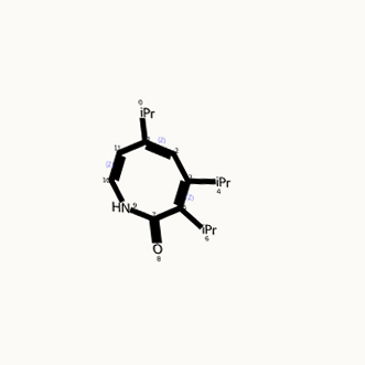 CC(C)C1=C/C(C(C)C)=C(/C(C)C)C(=O)N/C=C\1